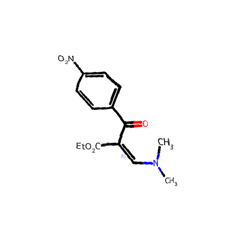 CCOC(=O)/C(=C/N(C)C)C(=O)c1ccc([N+](=O)[O-])cc1